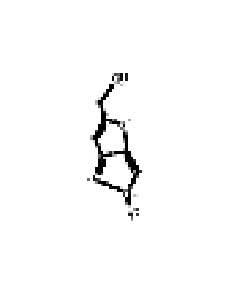 CCn1cc2sc(CO)cc2n1